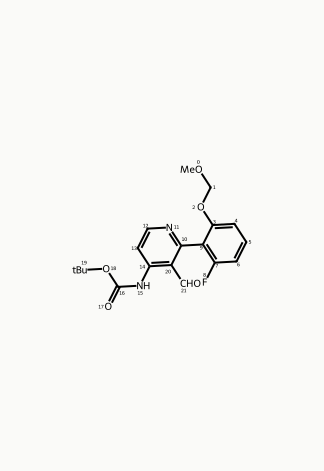 COCOc1cccc(F)c1-c1nccc(NC(=O)OC(C)(C)C)c1C=O